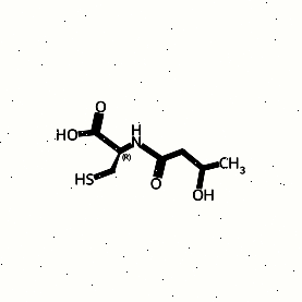 CC(O)CC(=O)N[C@@H](CS)C(=O)O